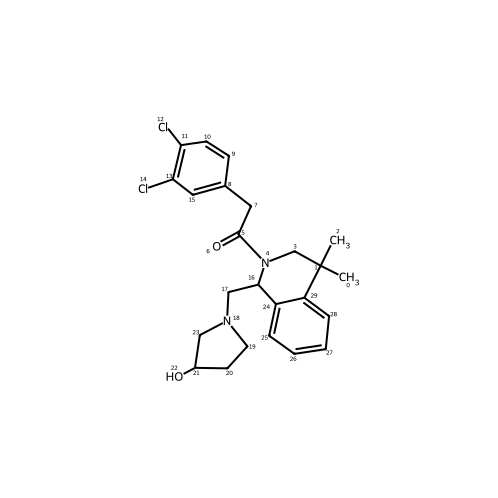 CC1(C)CN(C(=O)Cc2ccc(Cl)c(Cl)c2)C(CN2CCC(O)C2)c2ccccc21